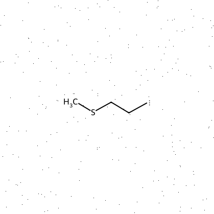 [C]CCSC